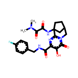 CN(C)C(=O)C(=O)NC12CCC(Cn3c1nc(C(=O)NCc1ccc(F)cc1)c(O)c3=O)C2